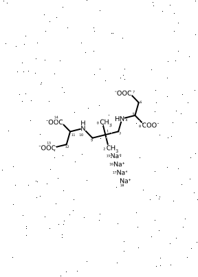 CC(C)(CNC(CC(=O)[O-])C(=O)[O-])CNC(CC(=O)[O-])C(=O)[O-].[Na+].[Na+].[Na+].[Na+]